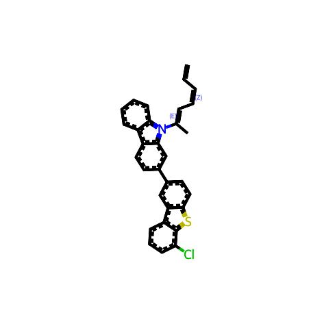 C=C/C=C\C=C(/C)n1c2ccccc2c2ccc(-c3ccc4sc5c(Cl)cccc5c4c3)cc21